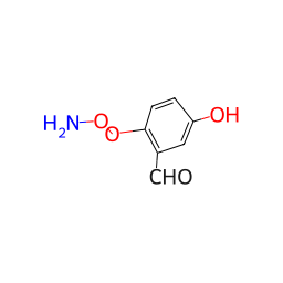 NOOc1ccc(O)cc1C=O